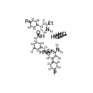 CCC(C(C)C(CONCc1cc(C)cc(CNOCC(c2ccc(F)cc2)C(C)C(CC)N(C)C)c1)c1ccc(F)cc1)N(C)C.Cl.Cl.Cl.Cl